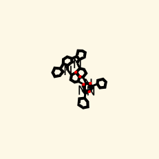 c1ccc(-c2ccc(-n3c4ccccc4c4ccc5c6ccccc6n(-c6ccc(-c7nc(-c8ccccc8)nc(-c8ccccc8)n7)cc6)c5c43)cc2)cc1